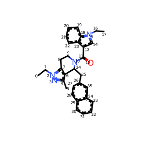 CCn1nc(C)c2c1CCN(C(=O)c1cn(CC)c3ccccc13)C2Cc1ccc2ccccc2c1